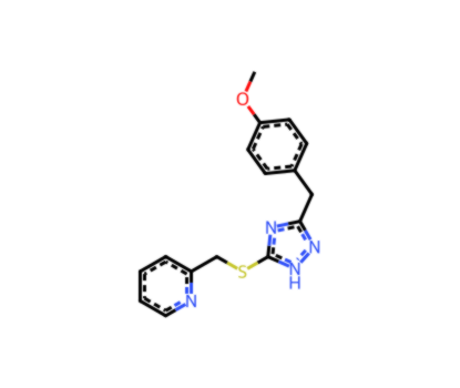 COc1ccc(Cc2n[nH]c(SCc3ccccn3)n2)cc1